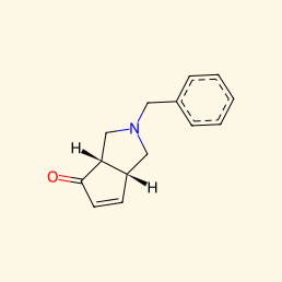 O=C1C=C[C@H]2CN(Cc3ccccc3)C[C@@H]12